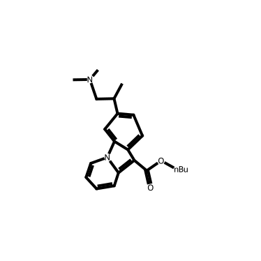 CCCCOC(=O)c1c2ccc(C(C)CN(C)C)cc2n2ccccc12